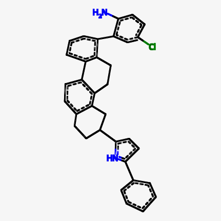 Nc1ccc(Cl)cc1-c1cccc2c1CCc1c-2ccc2c1CC(c1ccc(-c3ccccc3)[nH]1)CC2